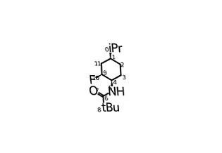 CC(C)[C@H]1CC[C@@H](NC(=O)C(C)(C)C)[C@@H](F)C1